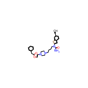 C#Cc1ccc2cc(N(CCCCN3CCN(C4=COC(Cc5ccccc5)O4)CC3)C(N)=O)sc2c1